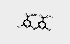 COC(=O)c1cc(Br)nc(Br)c1.COC(=O)c1cc(Br)nc(C#N)c1